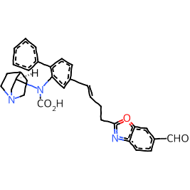 O=Cc1ccc2nc(CCC=Cc3ccc(-c4ccccc4)c(N(C(=O)O)[C@H]4CN5CCC4CC5)c3)oc2c1